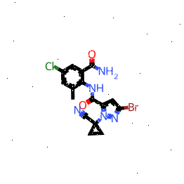 Cc1cc(Cl)cc(C(N)=O)c1NC(=O)c1cc(Br)nn1C1(C#N)CC1